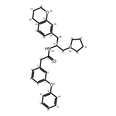 O=C(Cc1cccc(Oc2ccccc2)c1)N[C@@H](Cc1ccc2c(c1)OCCC2)CN1CCCC1